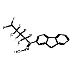 ON=C(c1ccc2c(c1)Cc1ccccc1-2)C(F)(F)C(F)(F)C(F)(F)C(F)F